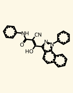 N#C/C(C(=O)Nc1ccccc1)=C(/O)c1nn(-c2ccccc2)c2c1ccc1ccccc12